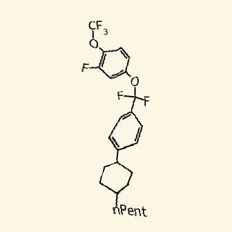 CCCCCC1CCC(c2ccc(C(F)(F)Oc3ccc(OC(F)(F)F)c(F)c3)cc2)CC1